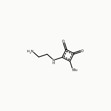 CC(C)(C)c1c(NCCN)c(=O)c1=O